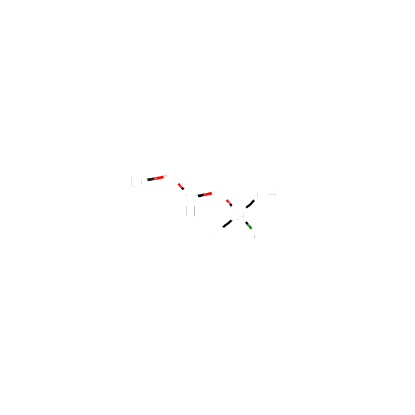 CCO[SiH2]O[Si](C)(C)Cl